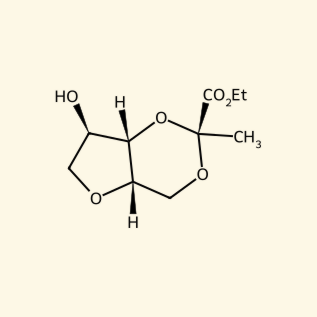 CCOC(=O)[C@@]1(C)OC[C@@H]2OC[C@@H](O)[C@@H]2O1